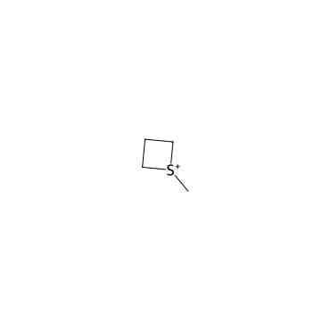 C[S+]1CCC1